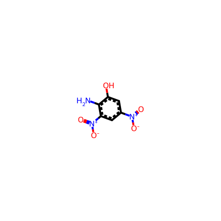 Nc1c(O)cc([N+](=O)[O-])cc1[N+](=O)[O-]